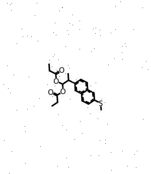 CCC(=O)OC(OC(=O)CC)C(C)c1ccc2cc(SC)ccc2c1